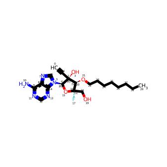 C#C[C@]1(O)[C@H](n2cnc3c(N)ncnc32)O[C@](F)(CO)[C@H]1OCCCCCCCC